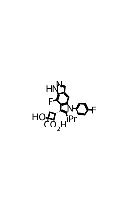 CC(C)c1c([C@H]2C[C@](O)(C(=O)O)C2)c2c(F)c3[nH]ncc3cc2n1-c1ccc(F)cc1